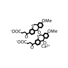 COc1ccc2c(c1)CSc1cc(C(=O)CCC(=O)[O-])ccc1C2=O.COc1ccc2c(c1)CSc1cc(C(=O)CCC(=O)[O-])ccc1C2=O.[Ca+2]